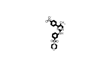 Cc1cnc(Nc2cccc(S(=O)(=O)N3CCOCC3)c2)nc1-c1ccc([N+](=O)[O-])cc1